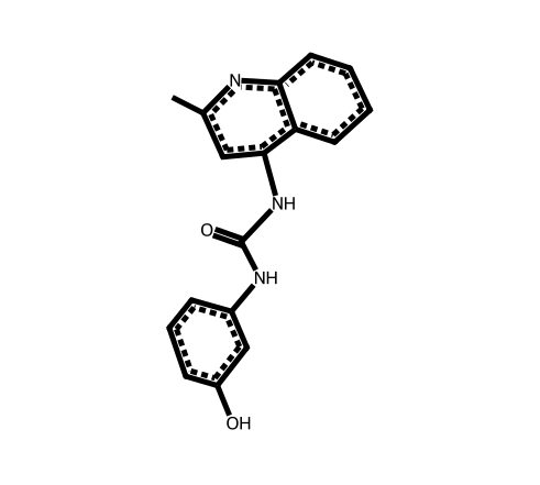 Cc1cc(NC(=O)Nc2cccc(O)c2)c2ccccc2n1